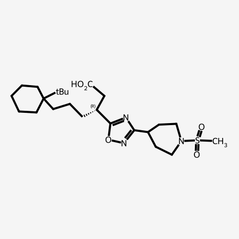 CC(C)(C)C1(CCC[C@H](CC(=O)O)c2nc(C3CCN(S(C)(=O)=O)CC3)no2)CCCCC1